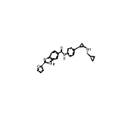 O=C(Nc1ccc(C2CC2NCC2CC2)cc1)c1ccc2nc(-c3ccco3)[nH]c2c1